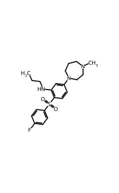 CCCNc1cc(N2CCCN(C)CC2)ccc1S(=O)(=O)c1ccc(F)cc1